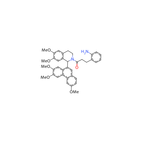 COc1ccc2cc(C3c4cc(OC)c(OC)cc4CCN3C(=O)CCc3ccccc3N)c3cc(OC)c(OC)cc3c2c1